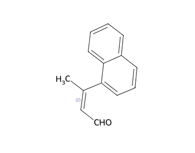 C/C(=C/C=O)c1cccc2ccccc12